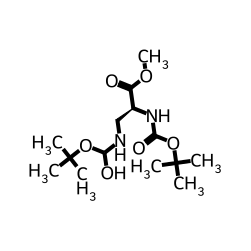 COC(=O)[C@H](CNC(O)OC(C)(C)C)NC(=O)OC(C)(C)C